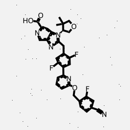 CC1(C)COC[C@H]1n1c(Cc2cc(F)c(-c3cccc(OCc4ccc(C#N)cc4F)n3)cc2F)nc2cnc(C(=O)O)cc21